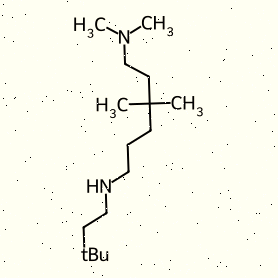 CN(C)CCC(C)(C)CCCNCCC(C)(C)C